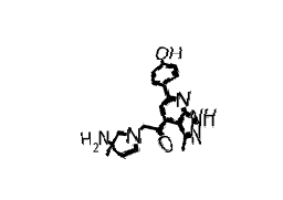 Cc1n[nH]c2nc(-c3ccc(O)cc3)cc(C(=O)CN3CCC(C)(N)C3)c12